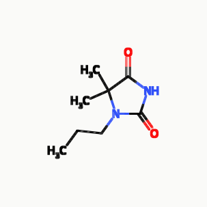 CCCN1C(=O)NC(=O)C1(C)C